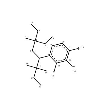 CCC(C)(CC)CC(c1ccc(F)c(F)c1F)C(C)(C)CC